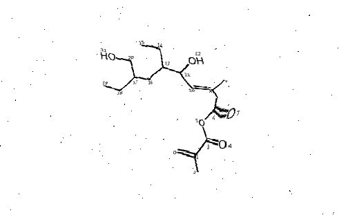 C=C(C)C(=O)OC(=O)C(C)=CC(O)C(CC)CC(CC)CO